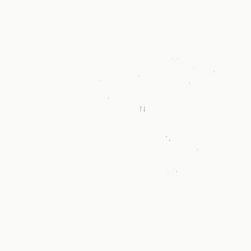 CC(C)(C)OC(=O)N1CCN(C(=O)OCc2ccccc2)C(COS(C)(=O)=O)C1